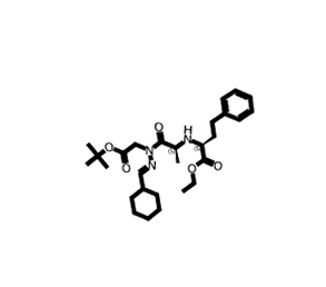 CCOC(=O)[C@H](CCc1ccccc1)N[C@@H](C)C(=O)N(CC(=O)OC(C)(C)C)N=CC1CCCCC1